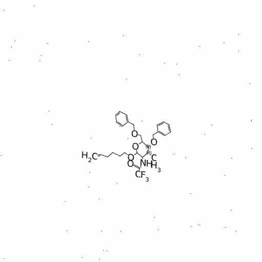 C=CCCCCOC1OC(COCc2ccccc2)[C@H](OCc2ccccc2)[C@H](C)C1NC(=O)C(F)(F)F